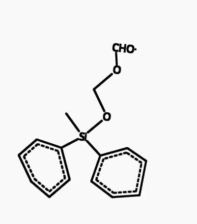 C[Si](OCO[C]=O)(c1ccccc1)c1ccccc1